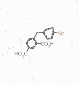 O=C(O)c1ccc(Cc2ccc(Br)cc2)c(C(=O)O)c1